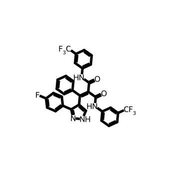 O=C(Nc1cccc(C(F)(F)F)c1)C(C(=O)Nc1cccc(C(F)(F)F)c1)=C(c1ccccc1)c1c[nH]nc1-c1ccc(F)cc1